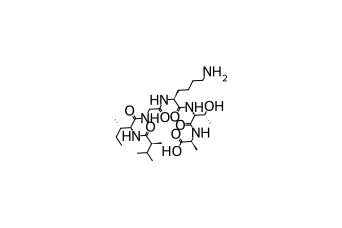 CC[C@H](C)[C@H](NC(=O)[C@@H](C)C(C)C)C(=O)NCC(=O)N[C@@H](CCCCN)C(=O)N[C@H](C(=O)N[C@@H](C)C(=O)O)[C@@H](C)O